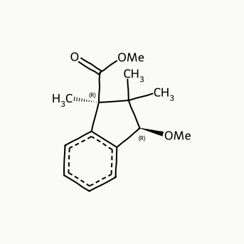 COC(=O)[C@]1(C)c2ccccc2[C@H](OC)C1(C)C